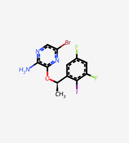 C[C@@H](Oc1nc(Br)cnc1N)c1cc(F)cc(F)c1I